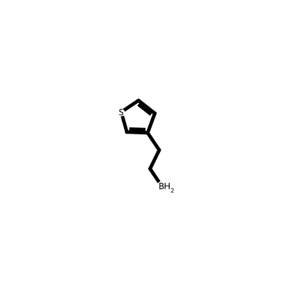 BCCc1ccsc1